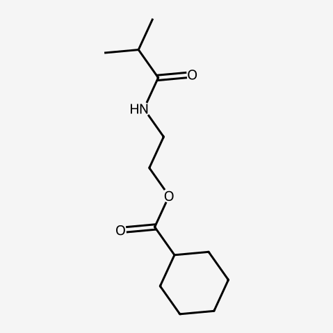 CC(C)C(=O)NCCOC(=O)C1CCCCC1